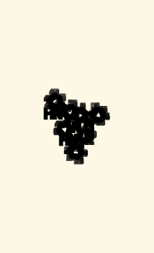 c1ccc(N(c2cccc3c2[nH]c2ccccc23)c2cccc3c2[nH]c2ccccc23)c(-c2cccc3c2[nH]c2ccccc23)c1